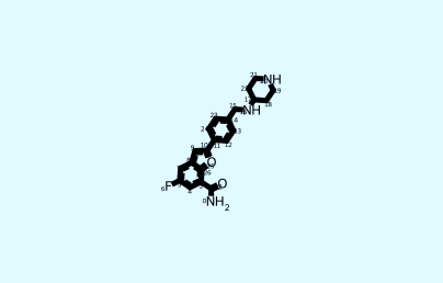 NC(=O)c1cc(F)cc2cc(-c3ccc(CNC4CCNCC4)cc3)oc12